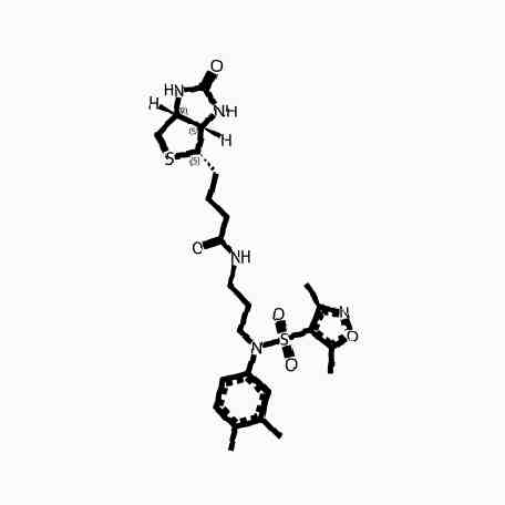 Cc1ccc(N(CCCNC(=O)CCC[C@@H]2SC[C@@H]3NC(=O)N[C@@H]32)S(=O)(=O)c2c(C)noc2C)cc1C